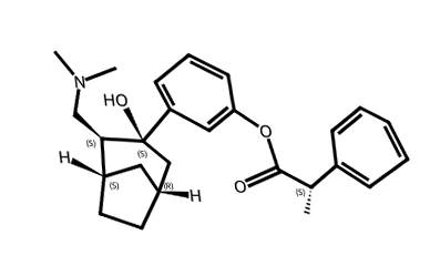 C[C@H](C(=O)Oc1cccc([C@]2(O)C[C@@H]3CC[C@@H](C3)[C@H]2CN(C)C)c1)c1ccccc1